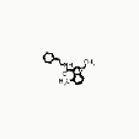 CCn1cc(C(=O)NCCC2CCCCC2)c2c(C)cccc21